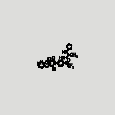 CC(NC1CCCC1)C(=O)Nc1cc(N2C(=O)N(Cc3ccncc3)C(C)(C)C2=O)ccc1OC(F)(F)F